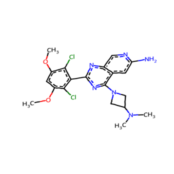 COc1cc(OC)c(Cl)c(-c2nc(N3CC(N(C)C)C3)c3cc(N)ncc3n2)c1Cl